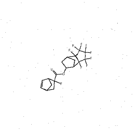 O=C(OC1CC2CC1C1(F)C(F)(F)C(F)(F)C(F)(F)C21F)C1(F)CC2C=CC1C2